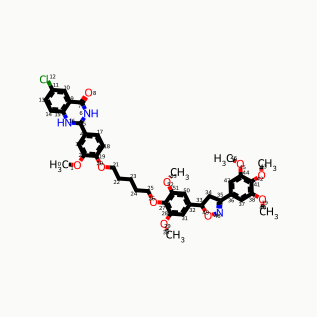 COc1cc(C2NC(=O)c3cc(Cl)ccc3N2)ccc1OCCCCCOc1c(OC)cc(C2CC(c3cc(OC)c(OC)c(OC)c3)=NO2)cc1OC